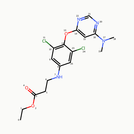 CCOC(=O)CCNc1cc(Cl)c(Oc2cc(N(C)C)ncn2)c(Cl)c1